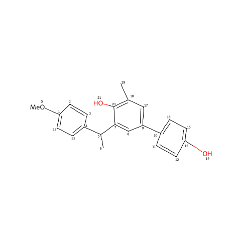 COc1ccc(C(C)c2cc(-c3ccc(O)cc3)cc(C)c2O)cc1